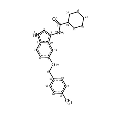 O=C(Nc1c[nH]c2ccc(OCc3ccc(C(F)(F)F)cc3)cc12)C1CCCCC1